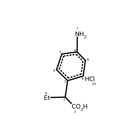 CCC(C(=O)O)c1ccc(N)cc1.Cl